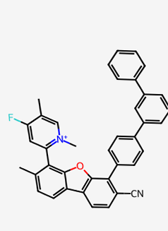 Cc1c[n+](C)c(-c2c(C)ccc3c2oc2c(-c4ccc(-c5cccc(-c6ccccc6)c5)cc4)c(C#N)ccc23)cc1F